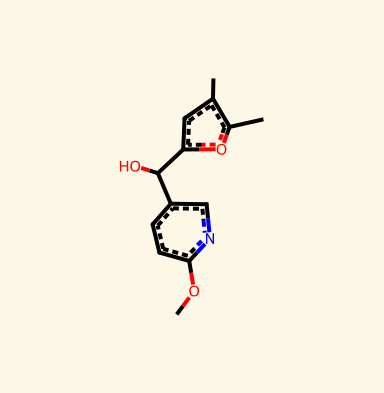 COc1ccc(C(O)c2cc(C)c(C)o2)cn1